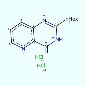 CCCCCCC1=Nc2cccnc2NN1.Cl.Cl